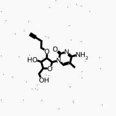 C#CCCOC1C(O)C(CO)OC1n1cc(C)c(N)nc1=O